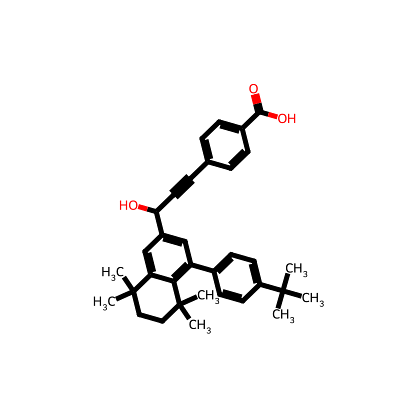 CC(C)(C)c1ccc(-c2cc(C(O)C#Cc3ccc(C(=O)O)cc3)cc3c2C(C)(C)CCC3(C)C)cc1